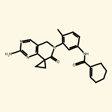 Cc1ccc(NC(=O)C2=CCCCC2)cc1N1Cc2cnc(N)nc2C2(CC2)C1=O